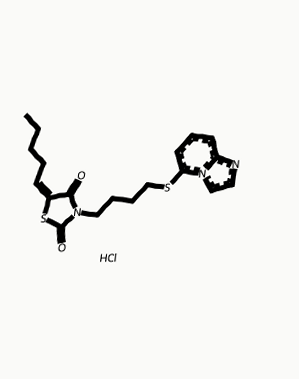 CCCC/C=C1/SC(=O)N(CCCCSc2cccc3nccn23)C1=O.Cl